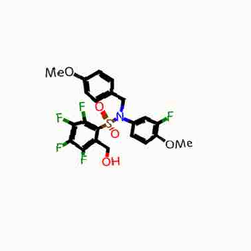 COc1ccc(CN(c2ccc(OC)c(F)c2)S(=O)(=O)c2c(F)c(F)c(F)c(F)c2CO)cc1